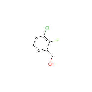 O[CH]c1cccc(Cl)c1F